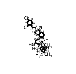 C[C@@H]1[C@@H](/N=C(/Nc2ccc3c(=O)n(CCc4ccc(Cl)cc4Cl)cnc3c2)N2CC[C@H](O)[C@H]2CO)C[C@@H]2C[C@H]1C2(C)C